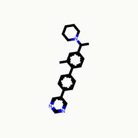 Cc1cc(C(C)N2CCCCC2)ccc1-c1ccc(-c2cncnc2)cc1